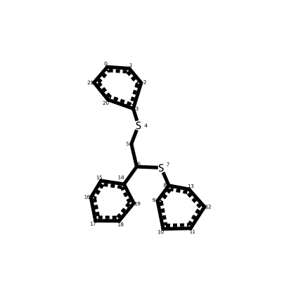 c1ccc(SCC(Sc2ccccc2)c2ccccc2)cc1